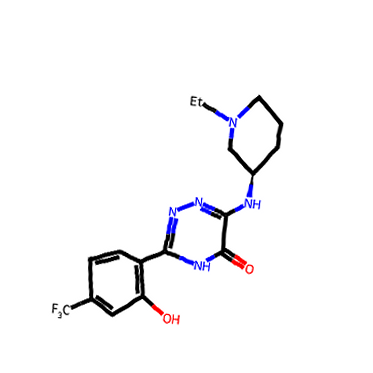 CCN1CCC[C@@H](Nc2nnc(-c3ccc(C(F)(F)F)cc3O)[nH]c2=O)C1